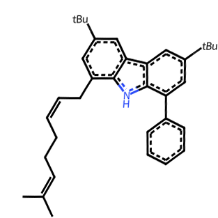 CC(C)=CCC/C=C\Cc1cc(C(C)(C)C)cc2c1[nH]c1c(-c3ccccc3)cc(C(C)(C)C)cc12